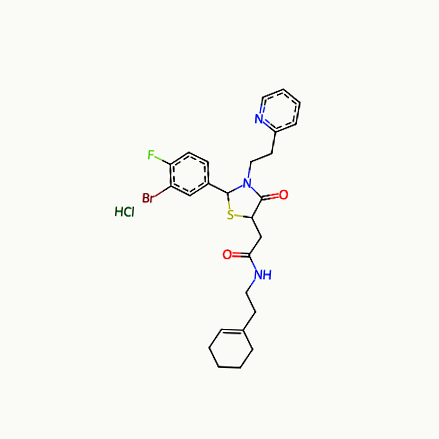 Cl.O=C(CC1SC(c2ccc(F)c(Br)c2)N(CCc2ccccn2)C1=O)NCCC1=CCCCC1